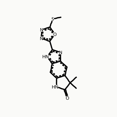 CSc1nnc(-c2nc3cc4c(cc3[nH]2)NC(=O)C4(C)C)o1